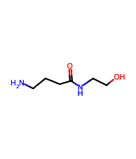 NCCCC(=O)NCCO